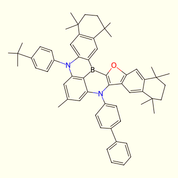 Cc1cc2c3c(c1)N(c1ccc(-c4ccccc4)cc1)c1c(oc4cc5c(cc14)C(C)(C)CCC5(C)C)B3c1cc3c(cc1N2c1ccc(C(C)(C)C)cc1)C(C)(C)CCC3(C)C